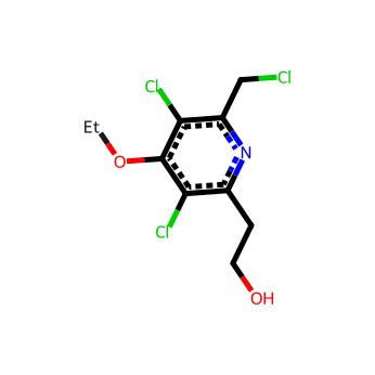 CCOc1c(Cl)c(CCl)nc(CCO)c1Cl